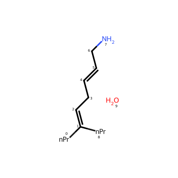 CCCC(=CCC=CCN)CCC.O